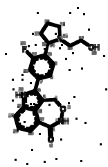 O=C1NOCc2c(-c3ccc([C@H]4CCCN4CCO)c(F)c3)[nH]c3cccc1c23